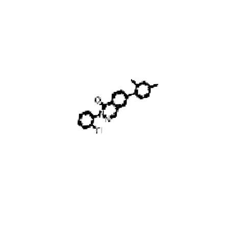 Cc1ccc(-c2ccc3c(=O)n(-c4ccccc4Cl)ncc3c2)c(C)c1